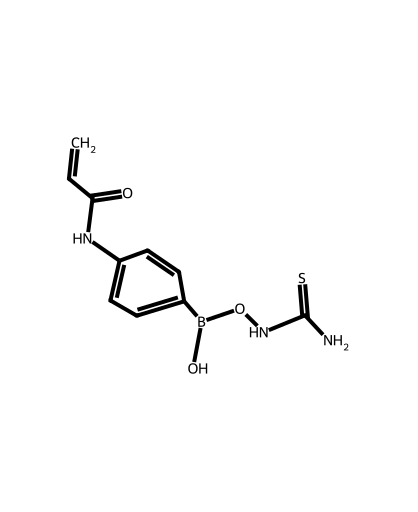 C=CC(=O)Nc1ccc(B(O)ONC(N)=S)cc1